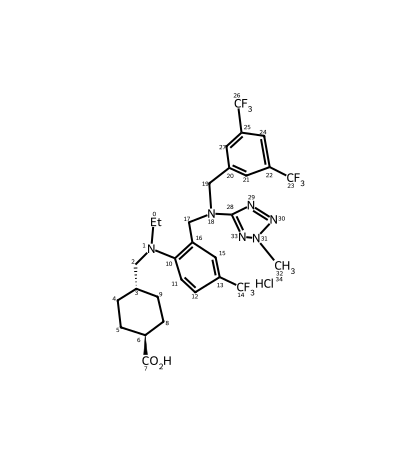 CCN(C[C@H]1CC[C@H](C(=O)O)CC1)c1ccc(C(F)(F)F)cc1CN(Cc1cc(C(F)(F)F)cc(C(F)(F)F)c1)c1nnn(C)n1.Cl